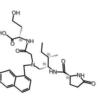 CC[C@H](C)[C@@H](CN(CC(=O)N[C@@H](CCO)C(=O)O)Cc1cccc2ccccc12)NC(=O)[C@@H]1CCC(=O)N1